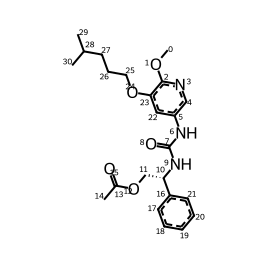 COc1ncc(NC(=O)N[C@@H](COC(C)=O)c2ccccc2)cc1OCCCC(C)C